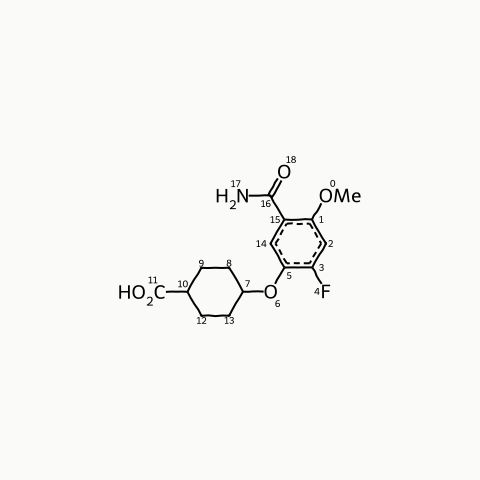 COc1cc(F)c(OC2CCC(C(=O)O)CC2)cc1C(N)=O